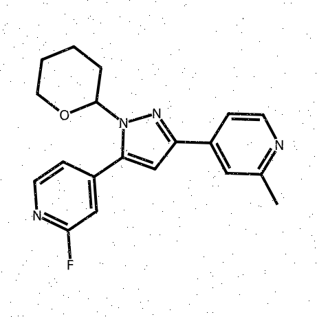 Cc1cc(-c2cc(-c3ccnc(F)c3)n(C3CCCCO3)n2)ccn1